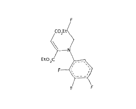 CCOC(=O)/C=C(/C(=O)OCC)N(CCF)c1ccc(F)c(F)c1F